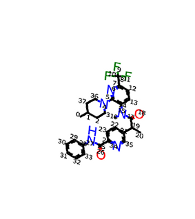 CC1CCN(c2nc(C(F)(F)F)ccc2N(C)C(=O)C(C)c2ccc(C(=O)Nc3ccccc3)nc2)CC1